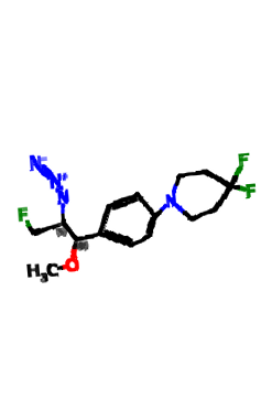 CO[C@H](c1ccc(N2CCC(F)(F)CC2)cc1)[C@@H](CF)N=[N+]=[N-]